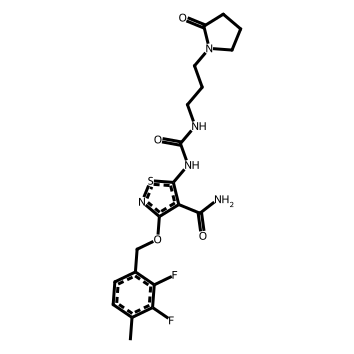 Cc1ccc(COc2nsc(NC(=O)NCCCN3CCCC3=O)c2C(N)=O)c(F)c1F